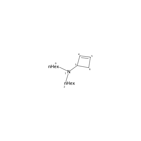 CCCCCCN(CCCCCC)C1C=CC1